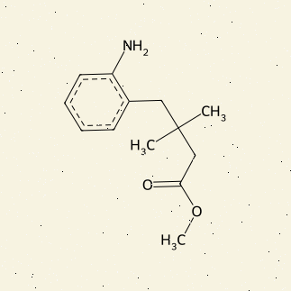 COC(=O)CC(C)(C)Cc1ccccc1N